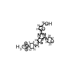 CS(=O)(=O)N1CCN(Cc2cc3nc(-c4ccc(CO)o4)nc(N4CCOCC4)c3s2)CC1